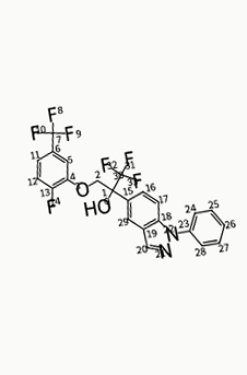 OC(COc1cc(C(F)(F)F)ccc1F)(c1ccc2c(cnn2-c2ccccc2)c1)C(F)(F)F